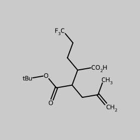 C=C(C)CC(C(=O)OC(C)(C)C)C(CCC(F)(F)F)C(=O)O